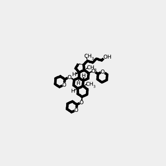 C[C@H](CCCO)[C@H]1CC[C@H]2[C@@H]3[C@H](OC4CCCCO4)C[C@@H]4C[C@H](OC5CCCCO5)CC[C@]4(C)[C@H]3C[C@H](OC3CCCCO3)[C@]12C